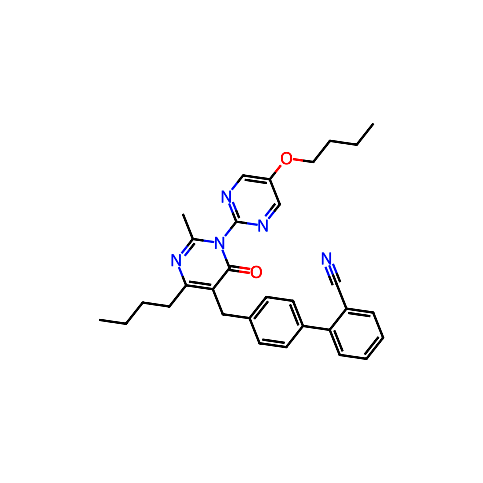 CCCCOc1cnc(-n2c(C)nc(CCCC)c(Cc3ccc(-c4ccccc4C#N)cc3)c2=O)nc1